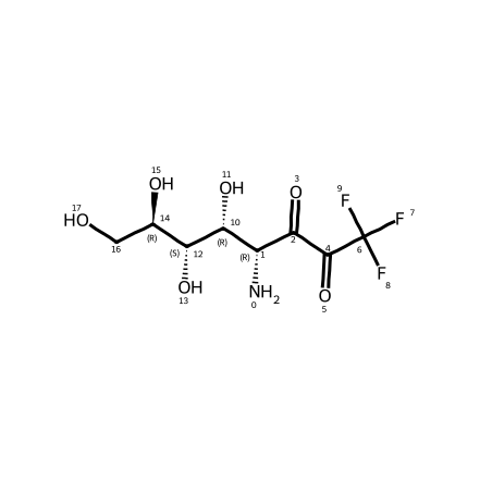 N[C@@H](C(=O)C(=O)C(F)(F)F)[C@@H](O)[C@H](O)[C@H](O)CO